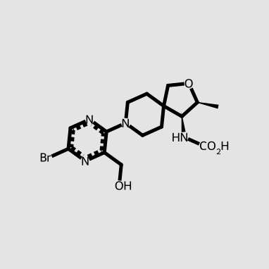 C[C@@H]1OCC2(CCN(c3ncc(Br)nc3CO)CC2)[C@@H]1NC(=O)O